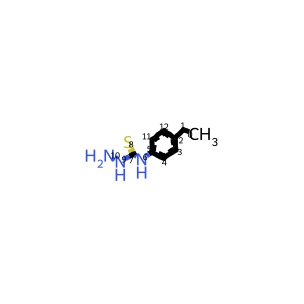 CCc1ccc(NC(=S)NN)cc1